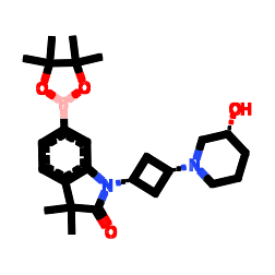 CC1(C)C(=O)N([C@H]2C[C@@H](N3CCC[C@@H](O)C3)C2)c2cc(B3OC(C)(C)C(C)(C)O3)ccc21